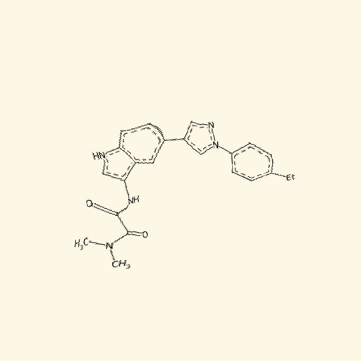 CCc1ccc(-n2cc(-c3ccc4[nH]cc(NC(=O)C(=O)N(C)C)c4c3)cn2)cc1